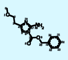 COCCc1cn(C(=O)OCc2ccccc2)c(N)n1